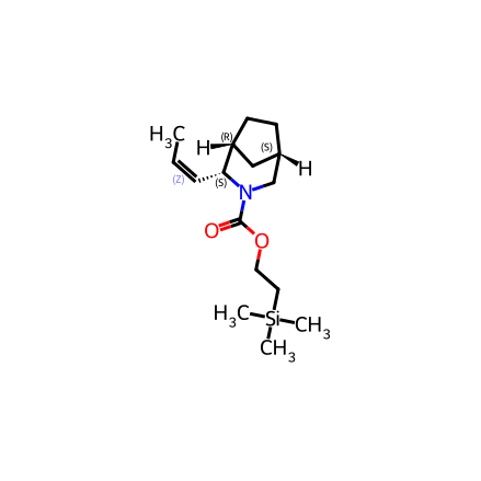 C/C=C\[C@@H]1[C@@H]2CC[C@@H](C2)CN1C(=O)OCC[Si](C)(C)C